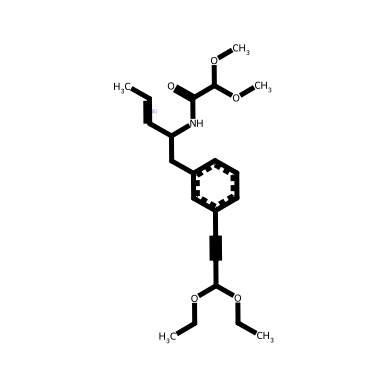 C/C=C/C(Cc1cccc(C#CC(OCC)OCC)c1)NC(=O)C(OC)OC